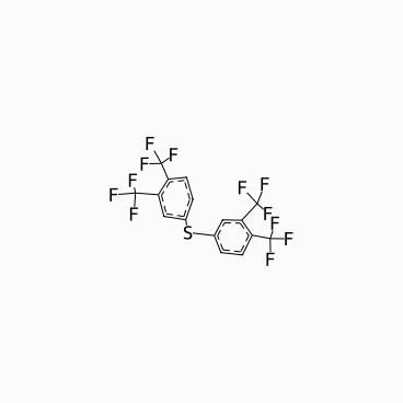 FC(F)(F)c1ccc(Sc2ccc(C(F)(F)F)c(C(F)(F)F)c2)cc1C(F)(F)F